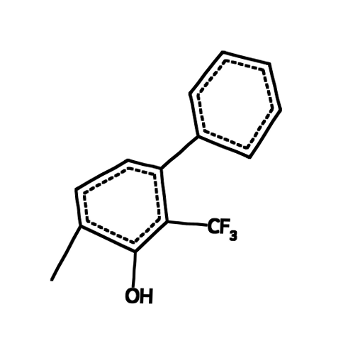 Cc1ccc(-c2ccccc2)c(C(F)(F)F)c1O